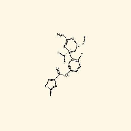 Cc1nc(C(=O)Nc2ccc(F)c([C@]3(C(F)F)C[C@@H](CF)OC(N)=N3)c2)co1